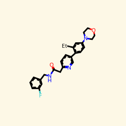 CCc1cc(N2CCOCC2)ccc1-c1ccc(CC(=O)NCc2cccc(F)c2)nc1